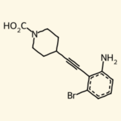 Nc1cccc(Br)c1C#CC1CCN(C(=O)O)CC1